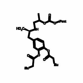 CCCC(C)OC(=O)OC(C)CN[C@@H](Cc1ccc(OC(=O)CC(C)CC)c(OC(=O)CC(C)CC)c1)C(=O)O